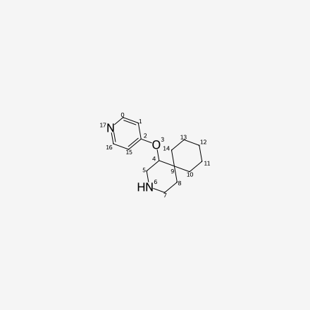 c1cc(OC2CNCCC23CCCCC3)ccn1